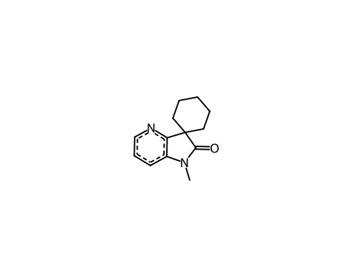 CN1C(=O)C2(CCCCC2)c2ncccc21